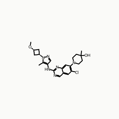 CO[C@H]1C[C@@H](n2ncc(Nc3ncc4cc(Cl)c(N5CCC(C)(O)CC5)cc4n3)c2C)C1